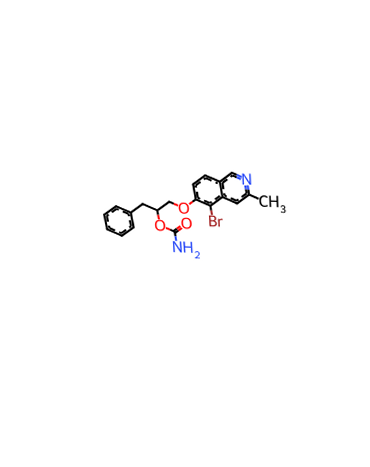 Cc1cc2c(Br)c(OCC(Cc3ccccc3)OC(N)=O)ccc2cn1